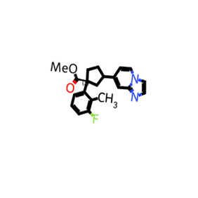 COC(=O)[C@@]1(c2cccc(F)c2C)CCC(c2ccn3ccnc3c2)C1